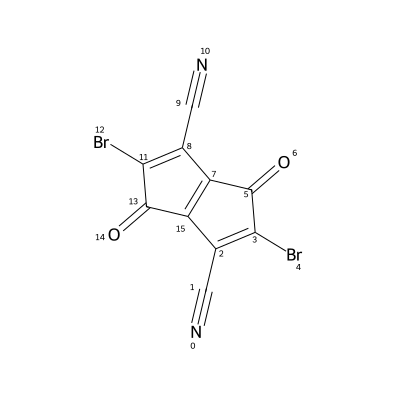 N#Cc1c(Br)c(=O)c2c(C#N)c(Br)c(=O)c1=2